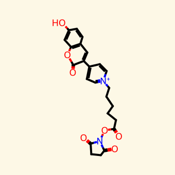 O=C(CCCCC[n+]1ccc(-c2cc3ccc(O)cc3oc2=O)cc1)ON1C(=O)CCC1=O